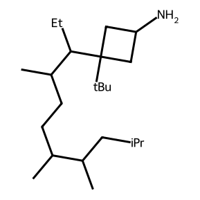 CCC(C(C)CCC(C)C(C)CC(C)C)C1(C(C)(C)C)CC(N)C1